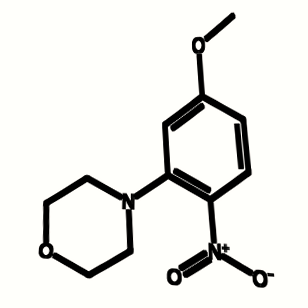 COc1ccc([N+](=O)[O-])c(N2CCOCC2)c1